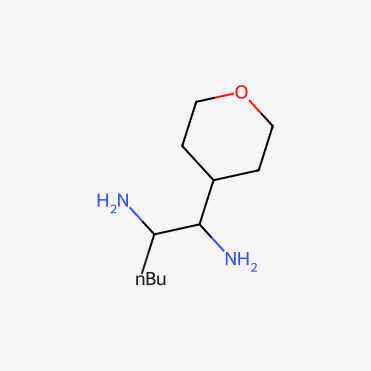 CCCCC(N)C(N)C1CCOCC1